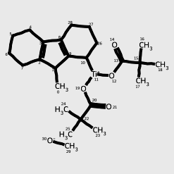 CC1C2=C(CCCC2)C2=C1[CH]([Ti+]([O]C(=O)C(C)(C)C)[O]C(=O)C(C)(C)C)CCC2.C[O-]